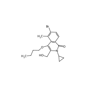 CCCCOc1c(CO)n(C2CC2)c(=O)c2ccc(Br)c(C)c12